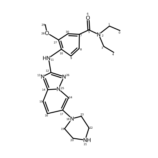 CCN(CC)C(=O)c1ccc(Nc2nc3ccc(N4CCNCC4)cn3n2)c(OC)c1